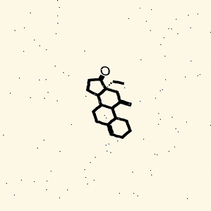 C=C1C[C@]2(CC)C(=O)CCC2C2CCC3=CCCCC3C12